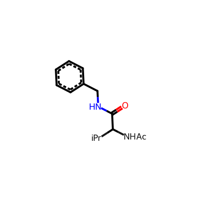 CC(=O)NC(C(=O)NCc1ccccc1)C(C)C